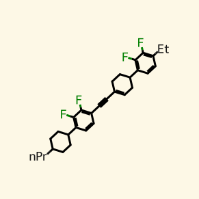 CCCC1CCC(c2ccc(C#CC3=CCC(c4ccc(CC)c(F)c4F)CC3)c(F)c2F)CC1